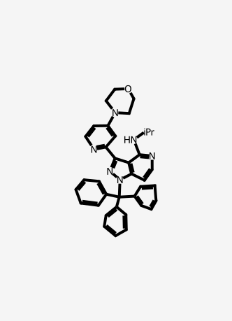 CC(C)Nc1nccc2c1c(-c1cc(N3CCOCC3)ccn1)nn2C(c1ccccc1)(c1ccccc1)c1ccccc1